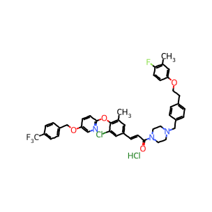 Cc1cc(OCCc2ccc(CN3CCN(C(=O)/C=C/c4cc(C)c(Oc5ccc(OCc6ccc(C(F)(F)F)cc6)cn5)c(Cl)c4)CC3)cc2)ccc1F.Cl